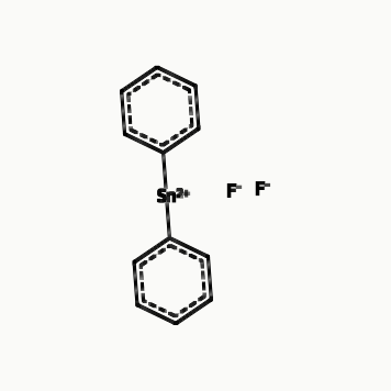 [F-].[F-].c1cc[c]([Sn+2][c]2ccccc2)cc1